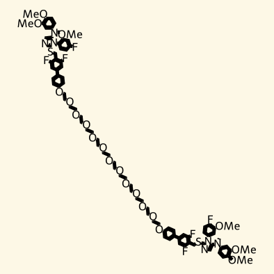 COc1cc(-n2c(N(C)c3ccc(OC)c(OC)c3)cnc2SCc2c(F)cc(-c3ccc(OCCOCCOCCOCCOCCOCCOCCOCCOCCOCCOCCOCCOc4ccc(-c5cc(F)c(CSc6ncc(N(C)c7ccc(OC)c(OC)c7)n6-c6ccc(F)cc6OC)c(F)c5)cc4)cc3)cc2F)ccc1F